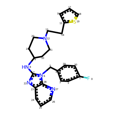 Fc1ccc(Cn2c(NC3CCN(CCc4cccs4)CC3)nc3cccnc32)cc1